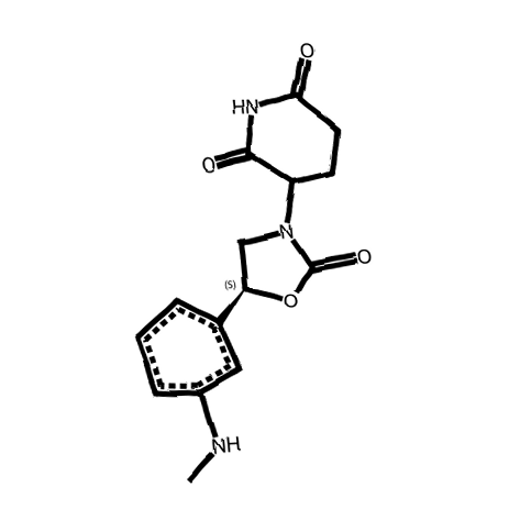 CNc1cccc([C@H]2CN(C3CCC(=O)NC3=O)C(=O)O2)c1